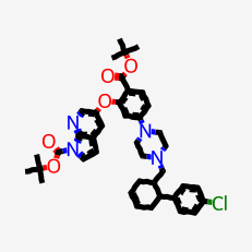 CC(C)(C)OC(=O)c1ccc(N2CCN(CC3CC=CCC3c3ccc(Cl)cc3)CC2)cc1Oc1cnc2c(ccn2C(=O)OC(C)(C)C)c1